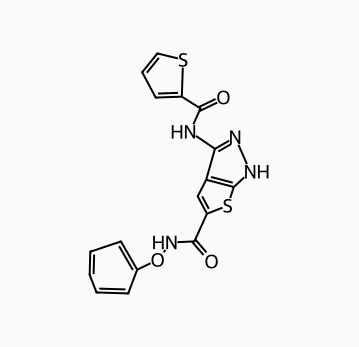 O=C(Nc1n[nH]c2sc(C(=O)NOc3ccccc3)cc12)c1cccs1